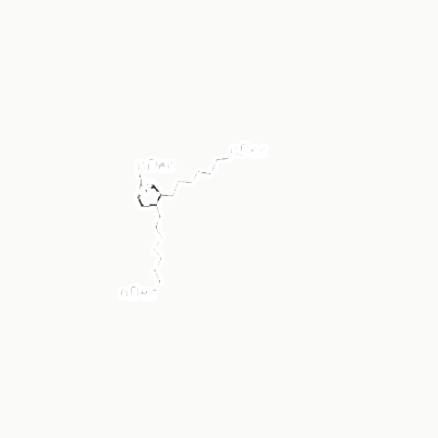 CCCCCCCCCCCCCCCCCc1cc[n+](CCCCCCCCCCC)cc1CCCCCCCCCCCCCCCCC